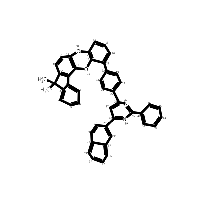 CC1(C)c2ccccc2-c2c1ccc1c2Oc2c(cccc2-c2ccc(-c3cc(-c4ccc5ccccc5c4)nc(-c4ccccc4)n3)cc2)O1